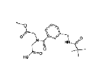 COC(=O)CN(CC(=O)O)C(=O)c1cccc(CNC(=O)C(C)(C)C)c1